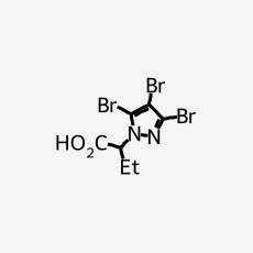 CCC(C(=O)O)n1nc(Br)c(Br)c1Br